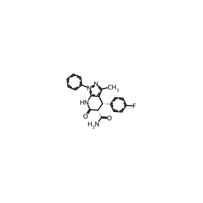 Cc1nn(-c2ccccc2)c2c1[C@H](c1ccc(F)cc1)[C@H](C(N)=O)C(=O)N2